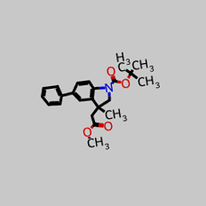 COC(=O)CC1(C)CN(C(=O)OC(C)(C)C)c2ccc(-c3ccccc3)cc21